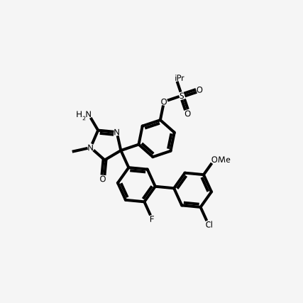 COc1cc(Cl)cc(-c2cc(C3(c4cccc(OS(=O)(=O)C(C)C)c4)N=C(N)N(C)C3=O)ccc2F)c1